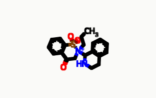 CCC[N+]1(C2NCCc3ccccc32)CC(=O)c2ccccc2S1(=O)=O